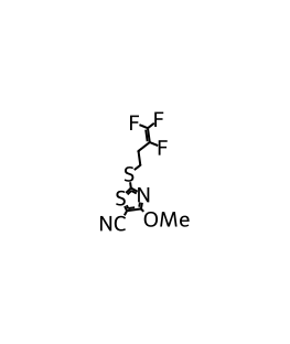 COc1nc(SCCC(F)=C(F)F)sc1C#N